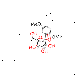 COc1ccc(OC)c([C@@]2(O)O[C@H](CO)[C@H](O)[C@H](O)[C@H]2O)c1